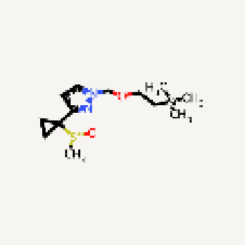 C[S+]([O-])C1(c2ccn(COCC[Si](C)(C)C)n2)CC1